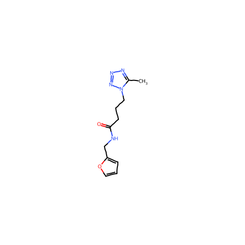 Cc1nnnn1CCCC(=O)NCc1ccco1